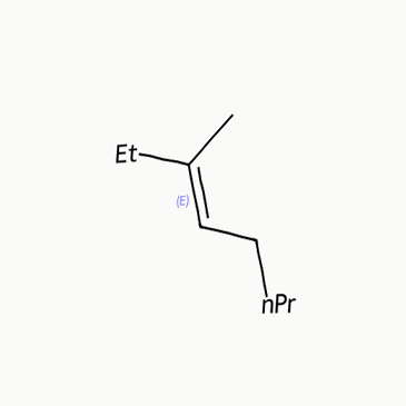 [CH2]C/C(C)=C/CCCC